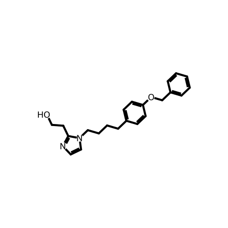 OCCc1nccn1CCCCc1ccc(OCc2ccccc2)cc1